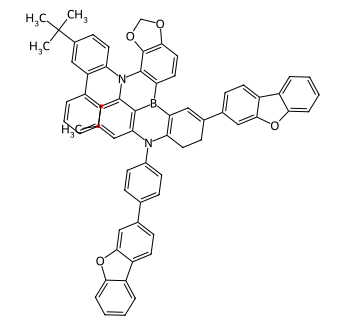 Cc1cc2c3c(c1)N(c1ccc(C(C)(C)C)cc1-c1ccccc1)c1c(ccc4c1OCO4)B3C1=C(CCC(c3ccc4c(c3)oc3ccccc34)=C1)N2c1ccc(-c2ccc3c(c2)oc2ccccc23)cc1